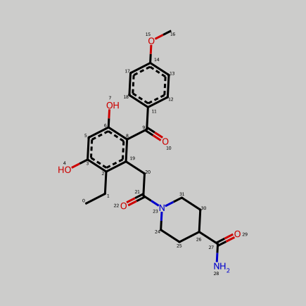 CCc1c(O)cc(O)c(C(=O)c2ccc(OC)cc2)c1CC(=O)N1CCC(C(N)=O)CC1